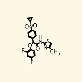 Cc1csc(NC(=O)C(Oc2ccc(F)cc2F)c2ccc(S(=O)(=O)C3CC3)cc2)n1